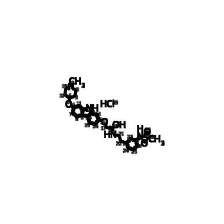 CN1CCC(Oc2ccc3c(c2)[nH]c2cc(OC[C@@H](O)NCCc4cccc(NS(C)(=O)=O)c4)ccc23)CC1.Cl